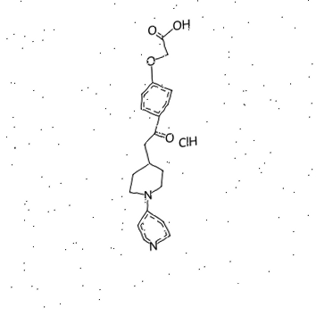 Cl.O=C(O)COc1ccc(C(=O)CC2CCN(c3ccncc3)CC2)cc1